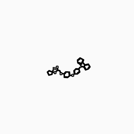 CCC1(OC(=O)COc2ccc(Oc3ccc([SH]4c5ccccc5-c5ccccc54)cc3)cc2)CCCC1